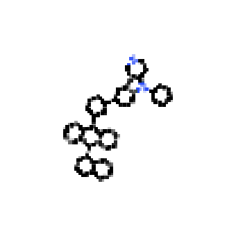 c1ccc(-n2c3ccncc3c3cc(-c4cccc(-c5c6ccccc6c(-c6cccc7ccccc67)c6ccccc56)c4)ccc32)cc1